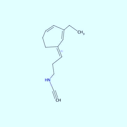 C#CNCC/C=C1/C=C(CC)C=CCC1